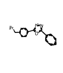 CC(C)Cc1ccc(-c2nnc(-c3ccccc3)o2)cc1